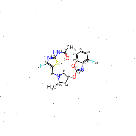 CC(=O)Nc1nc(F)c(CN2C[C@H](Oc3nc4c(F)cccc4o3)C[C@@H]2C)s1